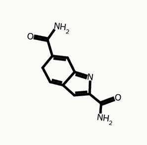 NC(=O)C1=CC2=NC(C(N)=O)=CC2=CC1